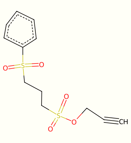 C#CCOS(=O)(=O)CCCS(=O)(=O)c1ccccc1